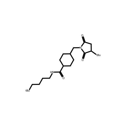 CC(C)(C)CCCCNC(=O)C1CCC(CN2C(=O)CC(C(C)(C)C)C2=O)CC1